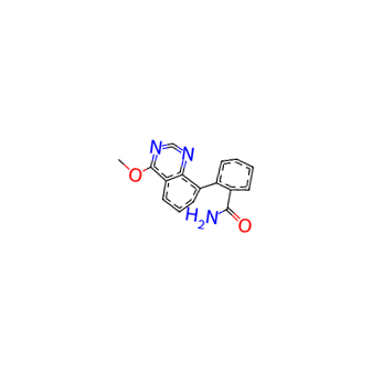 COc1ncnc2c(-c3ccccc3C(N)=O)cccc12